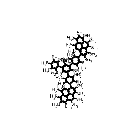 Bc1c(B)c(B)c(-c2c(B)c(-c3c(B)c(B)c(-c4c(B)c(B)c5c(B)c(B)c6c(B)c(B)c(B)c7c(B)c(B)c4c5c67)c(B)c3B)c(B)c(-c3c(B)c(B)c(-c4c(B)c(B)c5c(B)c(B)c6c(B)c(B)c(B)c7c(B)c(B)c4c5c67)c(B)c3B)c2B)c(B)c1B